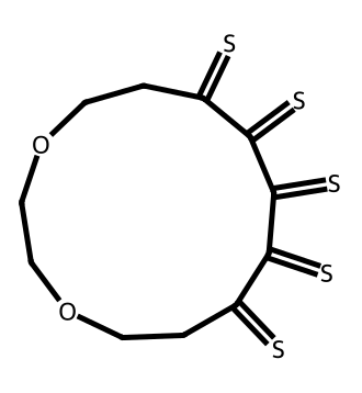 S=C1CCOCCOCCC(=S)C(=S)C(=S)C1=S